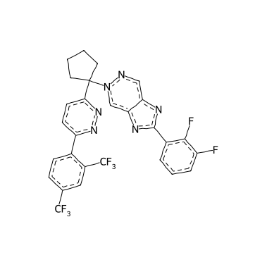 Fc1cccc(-c2nc3cnn(C4(c5ccc(-c6ccc(C(F)(F)F)cc6C(F)(F)F)nn5)CCCC4)cc-3n2)c1F